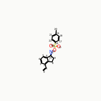 C=Cc1cccc2c1CCC2=NOS(=O)(=O)c1ccc(C)cc1